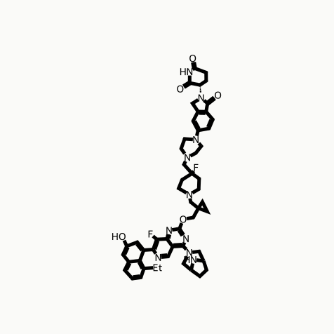 CCc1cccc2cc(O)cc(-c3ncc4c(N5CC6CCC(C5)N6)nc(OCC5(CN6CCC(F)(CN7CCN(c8ccc9c(c8)CN([C@H]8CCC(=O)NC8=O)C9=O)CC7)CC6)CC5)nc4c3F)c12